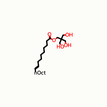 CCCCCCCCC=CCCCCCCCC(=O)OCC(CO)(CO)CO